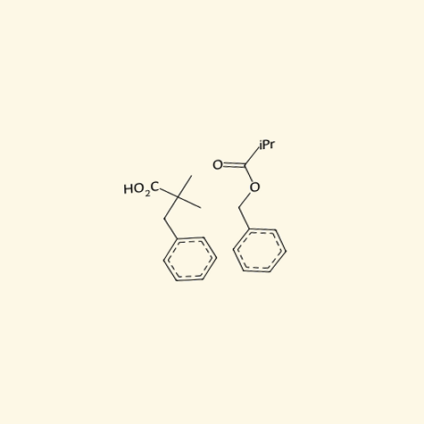 CC(C)(Cc1ccccc1)C(=O)O.CC(C)C(=O)OCc1ccccc1